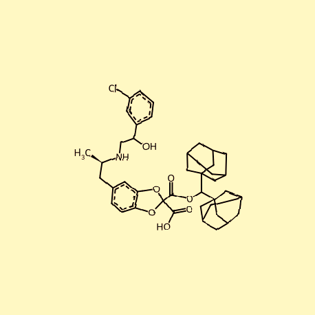 C[C@H](Cc1ccc2c(c1)OC(C(=O)O)(C(=O)OC(C13CC4CC(CC(C4)C1)C3)C13CC4CC(CC(C4)C1)C3)O2)NCC(O)c1cccc(Cl)c1